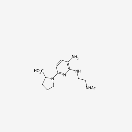 CC(=O)NCCNc1nc(N2CCCC2C(=O)O)ccc1N